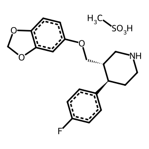 CS(=O)(=O)O.Fc1ccc([C@@H]2CCNC[C@H]2COc2ccc3c(c2)OCO3)cc1